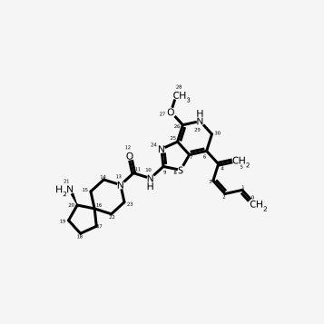 C=C/C=C\C(=C)C1=c2sc(NC(=O)N3CCC4(CCC[C@H]4N)CC3)nc2=C(OC)NC1